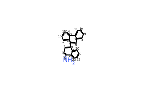 Nc1ccc(-c2cc3ccccc3c3ccccc23)c2ccccc12